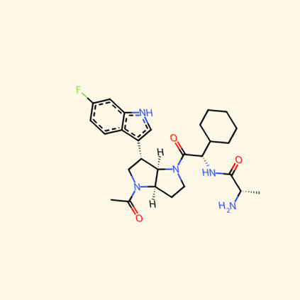 CC(=O)N1C[C@H](c2c[nH]c3cc(F)ccc23)[C@@H]2[C@H]1CCN2C(=O)[C@@H](NC(=O)[C@H](C)N)C1CCCCC1